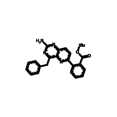 CC(C)(C)OC(=O)c1ccccc1-c1ccc2nc(N)nc(Cc3ccccc3)c2n1